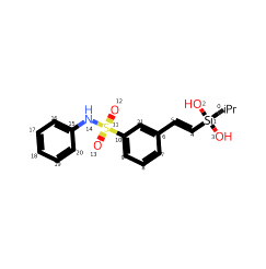 CC(C)[Si](O)(O)/C=C/c1cccc(S(=O)(=O)Nc2ccccc2)c1